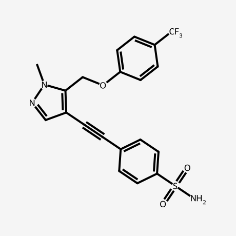 Cn1ncc(C#Cc2ccc(S(N)(=O)=O)cc2)c1COc1ccc(C(F)(F)F)cc1